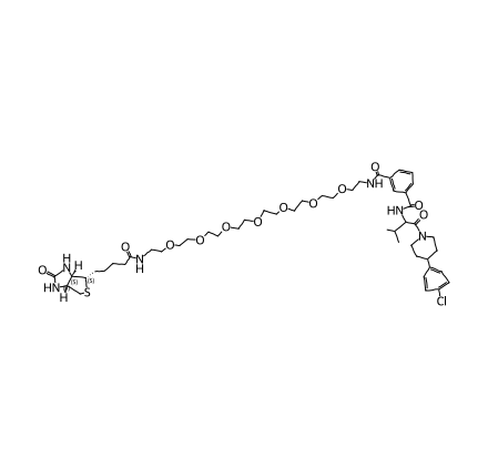 CC(C)C(NC(=O)c1cccc(C(=O)NCCOCCOCCOCCOCCOCCOCCOCCNC(=O)CCCC[C@@H]2SC[C@@H]3NC(=O)N[C@@H]32)c1)C(=O)N1CCC(c2ccc(Cl)cc2)CC1